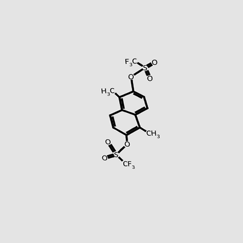 Cc1c(OS(=O)(=O)C(F)(F)F)ccc2c(C)c(OS(=O)(=O)C(F)(F)F)ccc12